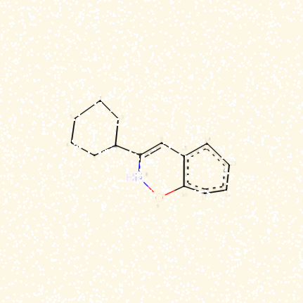 C1=C(C2CCCCC2)NOc2ccccc21